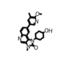 COc1ncc(-c2ccc3ncc4c(c3c2)n(C2CCC(O)CC2)c(=O)n4C)cc1C